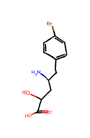 NC(Cc1ccc(Br)cc1)CC(O)C(=O)O